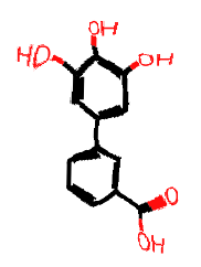 O=C(O)c1cccc(-c2cc(O)c(O)c(O)c2)c1